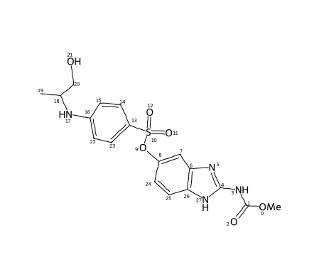 COC(=O)Nc1nc2cc(OS(=O)(=O)c3ccc(NC(C)CO)cc3)ccc2[nH]1